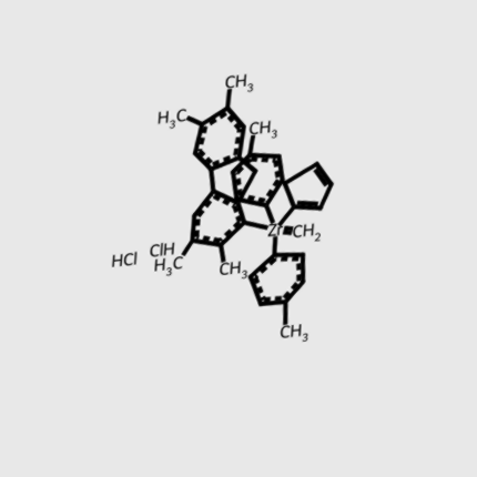 Cl.Cl.[CH2]=[Zr]([C]1=CC=CC1)([c]1ccc(C)cc1)([c]1ccc(C)cc1)[c]1c(C)c(C)cc2c1Cc1cc(C)c(C)cc1-2